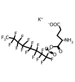 N[C@@H](CCC(=O)[O-])C(=O)OS(=O)(=O)C(F)(F)C(F)(F)C(F)(F)C(F)(F)C(F)(F)C(F)(F)C(F)(F)C(F)(F)F.[K+]